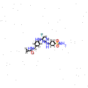 NS(=O)(=O)c1ccc(Nc2ncc(F)c(Nc3ccc(CNC(=O)C4CC4)cc3)n2)cc1